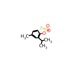 Cc1ccc(OS(=O)(=O)F)c(C(C)C)c1